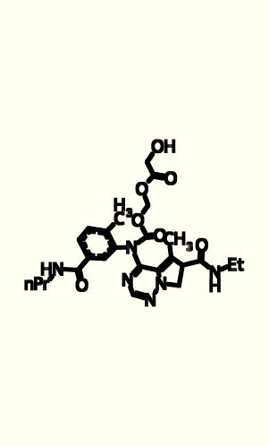 CCCNC(=O)c1ccc(C)c(N(C(=O)OCOC(=O)CO)C2=NC=NN3CC(C(=O)NCC)C(C)=C23)c1